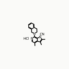 Cc1cnc(N2CCc3ccccc3C2)c2c1c(C)c(C)n2C#N.Cl